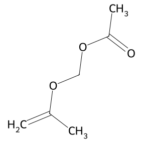 C=C(C)OCOC(C)=O